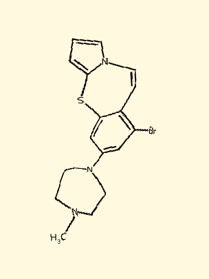 CN1CCN(c2cc(Br)c3c(c2)Sc2cccn2C=C3)CC1